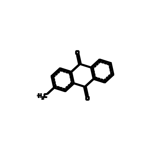 [CH2]c1ccc2c(c1)C(=O)c1ccccc1C2=O